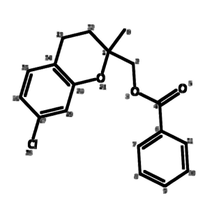 CC1(COC(=O)c2ccccc2)CCc2ccc(Cl)cc2O1